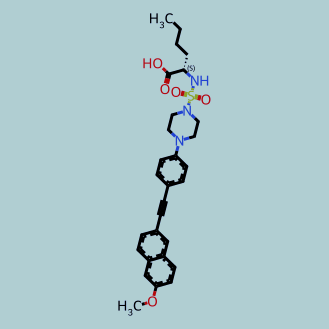 CCCC[C@H](NS(=O)(=O)N1CCN(c2ccc(C#Cc3ccc4cc(OC)ccc4c3)cc2)CC1)C(=O)O